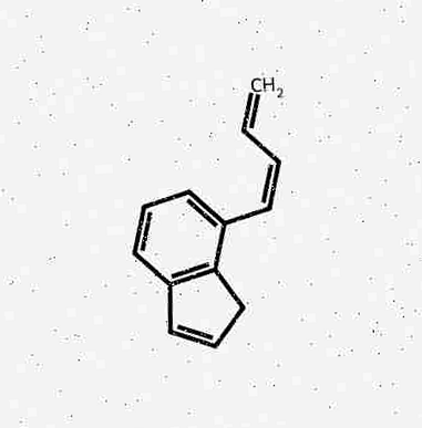 C=C/C=C\c1cccc2c1CC=C2